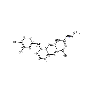 C/C=C/C(=O)Nc1cc2c(Nc3ccc(F)c(Cl)c3)ncnc2cc1OCC